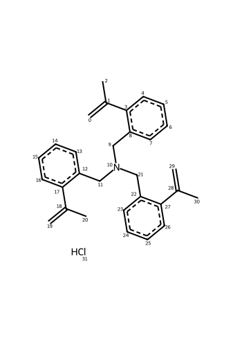 C=C(C)c1ccccc1CN(Cc1ccccc1C(=C)C)Cc1ccccc1C(=C)C.Cl